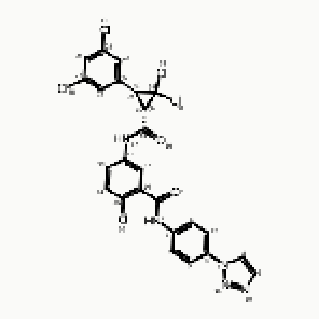 O=C(Nc1ccc(-n2ccnn2)cc1)c1cc(NC(=O)[C@@H]2[C@@H](c3cc(Cl)cc(Cl)c3)C2(Cl)Cl)ccc1Cl